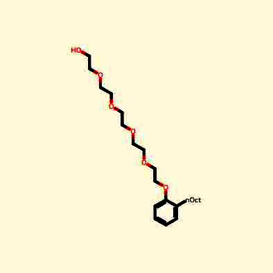 CCCCCCCCc1ccccc1OCCOCCOCCOCCOCCO